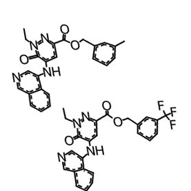 CCn1nc(C(=O)OCc2cccc(C(F)(F)F)c2)cc(Nc2cncc3ccccc23)c1=O.CCn1nc(C(=O)OCc2cccc(C)c2)cc(Nc2cncc3ccccc23)c1=O